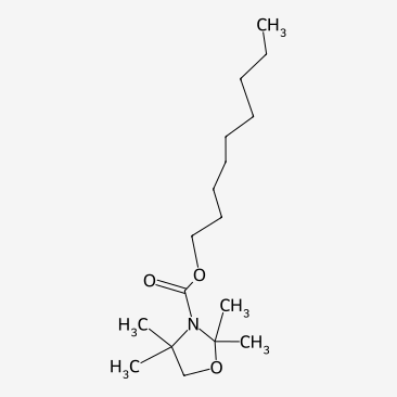 CCCCCCCCCOC(=O)N1C(C)(C)COC1(C)C